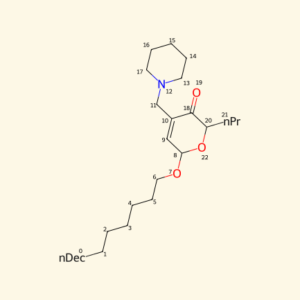 CCCCCCCCCCCCCCCCOC1C=C(CN2CCCCC2)C(=O)C(CCC)O1